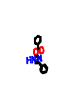 O=C(Oc1nc(-c2ccccc2)c[nH]1)C1CCCCC1